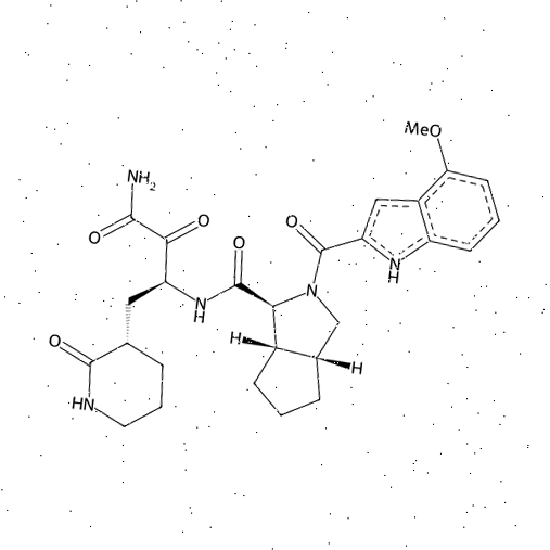 COc1cccc2[nH]c(C(=O)N3C[C@@H]4CCC[C@@H]4[C@H]3C(=O)N[C@@H](C[C@@H]3CCCNC3=O)C(=O)C(N)=O)cc12